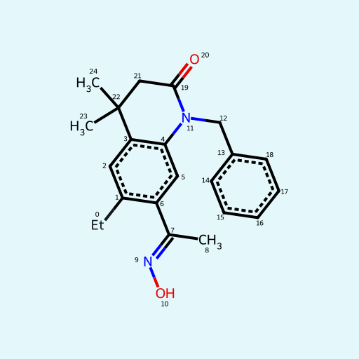 CCc1cc2c(cc1C(C)=NO)N(Cc1ccccc1)C(=O)CC2(C)C